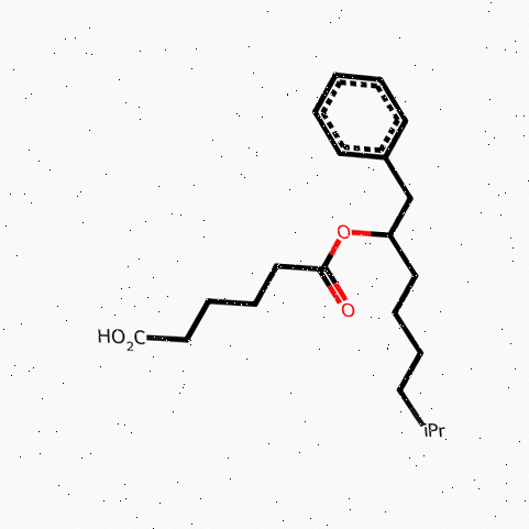 CC(C)CCCCC(Cc1ccccc1)OC(=O)CCCCC(=O)O